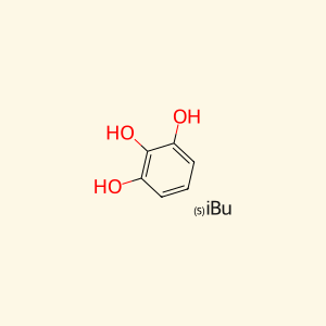 CC[C@H](C)c1cc(O)c(O)c(O)c1